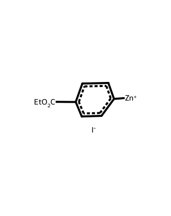 CCOC(=O)c1cc[c]([Zn+])cc1.[I-]